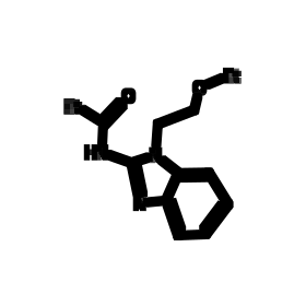 CCOCCn1c(NC(=O)CC)nc2ccccc21